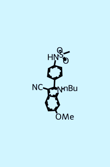 CCCCn1c(-c2ccc(NS(C)(=O)=O)cc2)c(C#N)c2ccc(OC)cc21